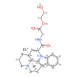 CC[C@@]12C=C(C(=O)NCC(=O)OCCO)n3c4c(c5ccccc53)CCN(CCC1)[C@H]42